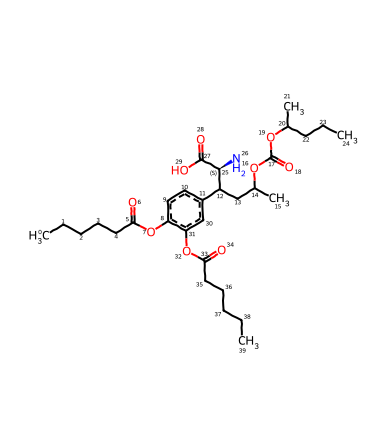 CCCCCC(=O)Oc1ccc(C(CC(C)OC(=O)OC(C)CCC)[C@H](N)C(=O)O)cc1OC(=O)CCCCC